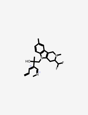 C=C/C=C(\C=N/C)C(C)(O)Cn1c2c(c3cc(C)ccc31)CN(C)C(C(F)F)C2